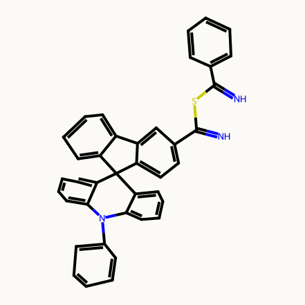 N=C(SC(=N)c1ccc2c(c1)-c1ccccc1C21c2ccccc2N(c2ccccc2)c2ccccc21)c1ccccc1